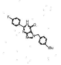 CC(C)(C)c1ccc(Cn2cnc3nc(-c4ccc(F)cc4)[nH]c(=O)c32)cc1